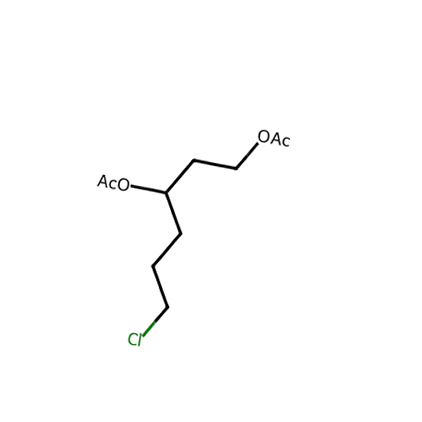 CC(=O)OCCC(CCCCl)OC(C)=O